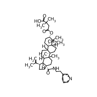 C=C(C)[C@@H]1CC[C@]2(C(=O)NCCc3cccnc3)CC[C@]3(C)[C@H](CC[C@@H]4[C@@]5(C)CC[C@H](OC(=O)CC(C)(C)C(=O)O)C(C)(C)[C@@H]5CC[C@]43C)[C@@H]12